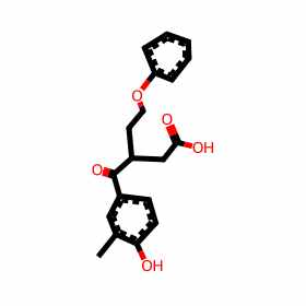 Cc1cc(C(=O)C(CCOc2ccccc2)CC(=O)O)ccc1O